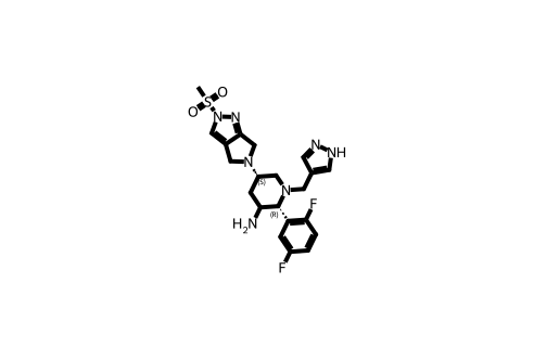 CS(=O)(=O)n1cc2c(n1)CN([C@H]1CC(N)[C@@H](c3cc(F)ccc3F)N(Cc3cn[nH]c3)C1)C2